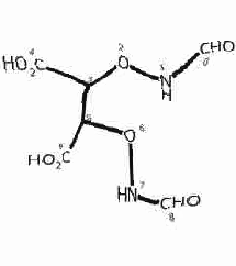 O=CNOC(C(=O)O)C(ONC=O)C(=O)O